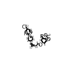 CS(=O)(=O)c1ccc(OCC[C@H]2C[C@@H]2C2CCN(c3ncc(Cl)cn3)CC2)cc1F